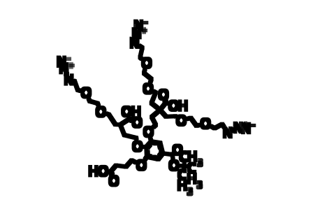 CC(C)(C)OC(=O)c1cc(OCCCC(=O)O)c(OCCC(CCOCCOCCN=[N+]=[N-])C(=O)O)c(OCCC(CCOCCOCCN=[N+]=[N-])(CCOCCOCCN=[N+]=[N-])C(=O)O)c1